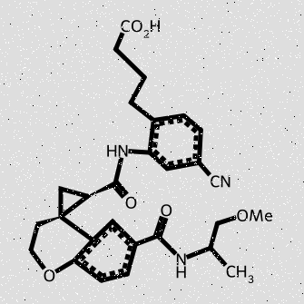 COCC(C)NC(=O)c1ccc2c(c1)[C@]1(CCO2)C[C@H]1C(=O)Nc1cc(C#N)ccc1CCCC(=O)O